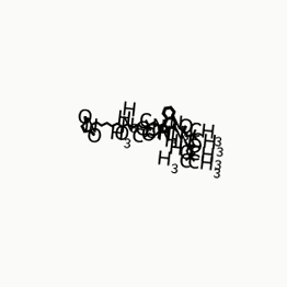 CCOCc1nc2c(NC(=O)[C@@H](NC(=O)OC(C)(C)C)C(C)C)nc3ccccc3c2n1CC(C)(C)OCCNC(=O)CCCCCN1C(=O)C=CC1=O